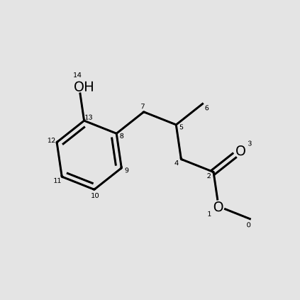 COC(=O)CC(C)Cc1ccccc1O